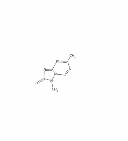 Cc1ncn2c(n1)nc(=O)n2C